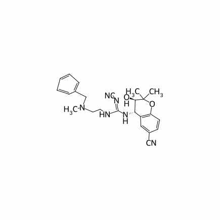 CN(CCNC(=NC#N)N[C@H]1c2cc(C#N)ccc2OC(C)(C)[C@@H]1O)Cc1ccccc1